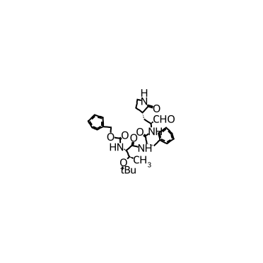 C[C@@H](OC(C)(C)C)[C@H](NC(=O)OCc1ccccc1)C(=O)N[C@@H](Cc1ccccc1)C(=O)N[C@H](C=O)C[C@@H]1CCNC1=O